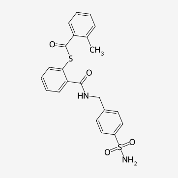 Cc1ccccc1C(=O)Sc1ccccc1C(=O)NCc1ccc(S(N)(=O)=O)cc1